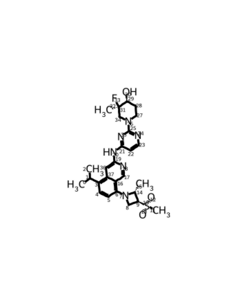 CC(C)c1ccc(N2C[C@H](S(C)(=O)=O)[C@H]2C)c2cnc(Nc3ccnc(N4CC[C@H](O)[C@](C)(F)C4)n3)cc12